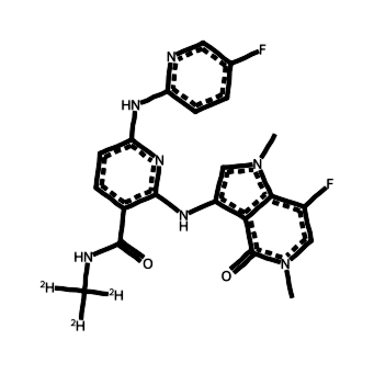 [2H]C([2H])([2H])NC(=O)c1ccc(Nc2ccc(F)cn2)nc1Nc1cn(C)c2c(F)cn(C)c(=O)c12